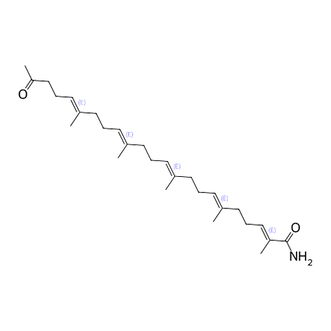 CC(=O)CC/C=C(\C)CC/C=C(\C)CC/C=C(\C)CC/C=C(\C)CC/C=C(\C)C(N)=O